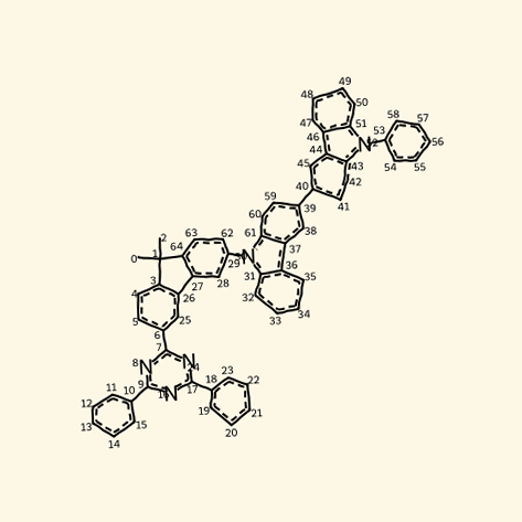 CC1(C)c2ccc(-c3nc(-c4ccccc4)nc(-c4ccccc4)n3)cc2-c2cc(-n3c4ccccc4c4cc(-c5ccc6c(c5)c5ccccc5n6-c5ccccc5)ccc43)ccc21